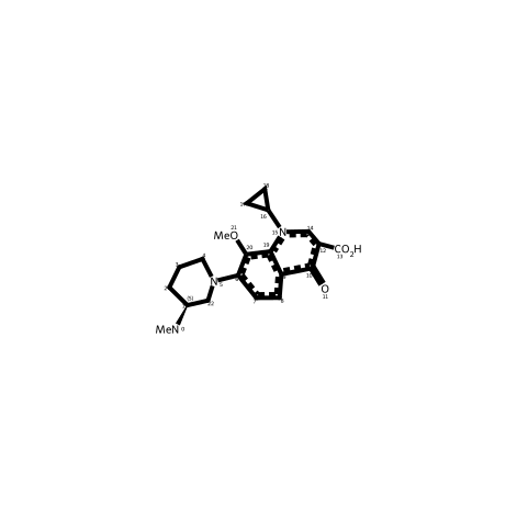 CN[C@H]1CCCN(c2ccc3c(=O)c(C(=O)O)cn(C4CC4)c3c2OC)C1